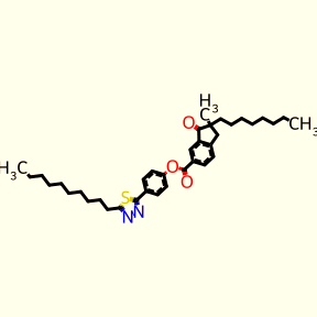 CCCCCCCCCCc1nnc(-c2ccc(OC(=O)c3ccc4c(c3)C(=O)C(C)(CCCCCCCC)C4)cc2)s1